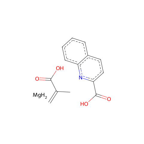 C=C(C)C(=O)O.O=C(O)c1ccc2ccccc2n1.[MgH2]